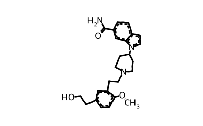 COc1ccc(CCO)cc1CCN1CCC(n2ccc3ccc(C(N)=O)cc32)CC1